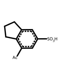 CC(=O)c1cc(S(=O)(=O)O)cc2c1CCC2